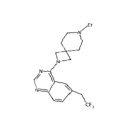 CCN1CCC2(CC1)CN(c1ncnc3ccc(CC(F)(F)F)cc13)C2